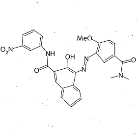 COc1ccc(C(=O)N(C)C)cc1/N=N/c1c(O)c(C(=O)Nc2cccc([N+](=O)[O-])c2)cc2ccccc12